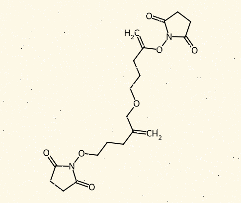 C=C(CCCON1C(=O)CCC1=O)COCCCC(=C)ON1C(=O)CCC1=O